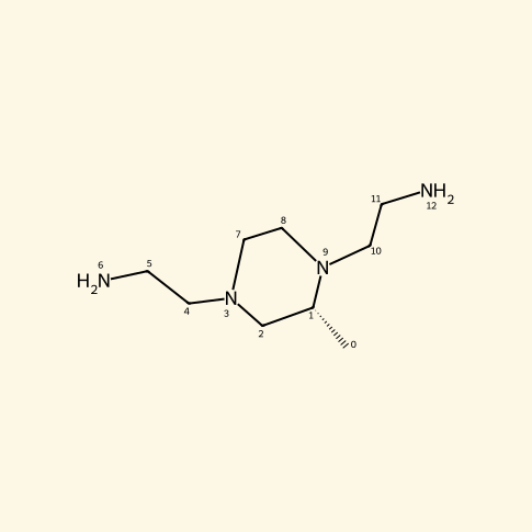 C[C@@H]1CN(CCN)CCN1CCN